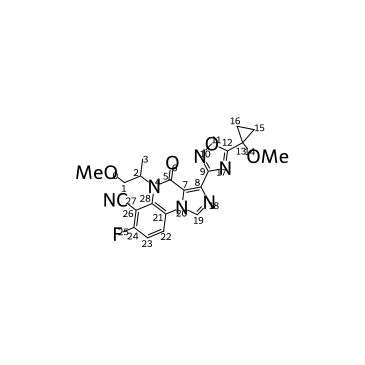 COCC(C)n1c(=O)c2c(-c3noc(C4(OC)CC4)n3)ncn2c2ccc(F)c(C#N)c21